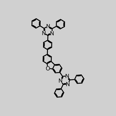 c1ccc(-c2nc(-c3ccccc3)nc(-c3ccc(-c4ccc5oc6cc(-c7nc(-c8ccccc8)nc(-c8ccccc8)n7)ccc6c5c4)cc3)n2)cc1